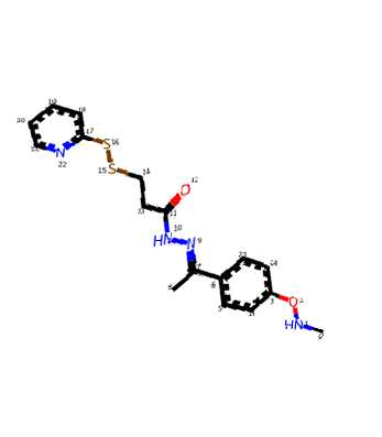 CNOc1ccc(/C(C)=N/NC(=O)CCSSc2ccccn2)cc1